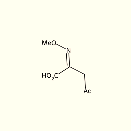 CO/N=C(/CC(C)=O)C(=O)O